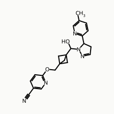 Cc1ccc(C2CC=NN2C(O)C23CC(COc4ccc(C#N)cn4)(C2)C3)nc1